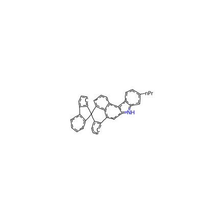 CCCc1ccc2c(c1)[nH]c1cc3c4c(cccc4c12)C1(c2ccccc2-c2ccccc21)c1ccccc1-3